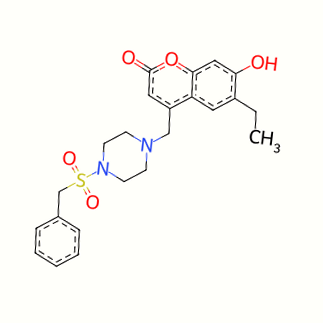 CCc1cc2c(CN3CCN(S(=O)(=O)Cc4ccccc4)CC3)cc(=O)oc2cc1O